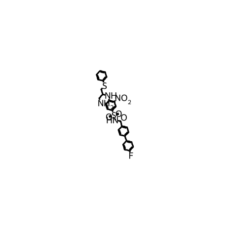 NCC(CSc1ccccc1)Nc1ccc(S(=O)(=O)NC(=O)c2ccc(-c3ccc(F)cc3)cc2)cc1[N+](=O)[O-]